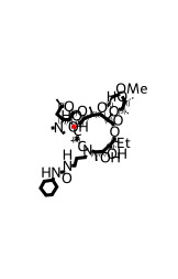 CC[C@H]1OC(=O)[C@H](C)[C@@H](O[C@@H](CCOC)O[C@@H](C)[C@@H](C)O)[C@H](C)[C@@H](O[C@@H]2O[C@H](C)C[C@H](N(C)C)[C@H]2O)[C@](C)(O)C[C@@H](C)CN(CCCNC(=O)NC2CCCCC2)[C@H](C)[C@@H](O)[C@]1(C)O